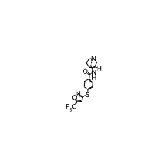 O=C(N[C@H]1CN2CCC1CC2)c1ccc(Sc2cc(C(F)(F)F)on2)cc1